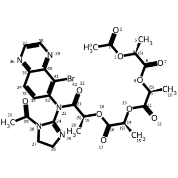 CC(=O)O[C@@H](C)C(=O)O[C@@H](C)C(=O)O[C@@H](C)C(=O)O[C@@H](C)C(=O)N(C1=NCCN1C(C)=O)c1ccc2nccnc2c1Br